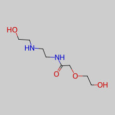 O=C(COCCO)NCCNCCO